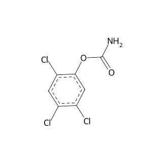 NC(=O)Oc1cc(Cl)c(Cl)cc1Cl